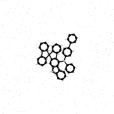 c1ccc(-c2ccc(N(c3ccccc3)c3c4c(cc5sc6ccccc6c35)C3(c5ccccc5-c5ccccc53)c3ccccc3-4)cc2)cc1